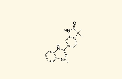 CC1(C)C(=O)Nc2cc(C(=O)Nc3ccccc3N)ccc21